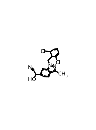 Cc1nn(CC2C(Cl)=CC=CC2Cl)c2cc(C(O)C#N)ccc12